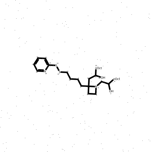 CCCCCCCCC(O)CN1CCC1(CCCCSSc1ccccn1)CC(O)CCCCCCCC